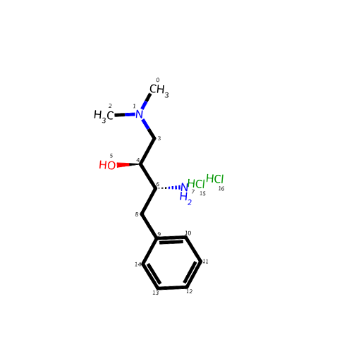 CN(C)C[C@H](O)[C@H](N)Cc1ccccc1.Cl.Cl